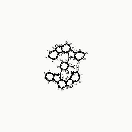 N#Cc1c(-n2c3ccccc3c3ccc4oc5ccccc5c4c32)ccc(-n2c3ccccc3c3ccc4oc5ccccc5c4c32)c1C#N